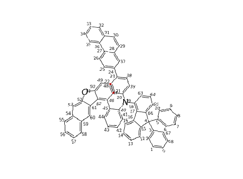 c1ccc(C2(c3ccccc3)c3ccccc3-c3c(N(c4ccc(-c5ccc6c(ccc7ccccc76)c5)cc4)c4ccccc4-c4cccc5oc6cc7ccccc7cc6c45)cccc32)cc1